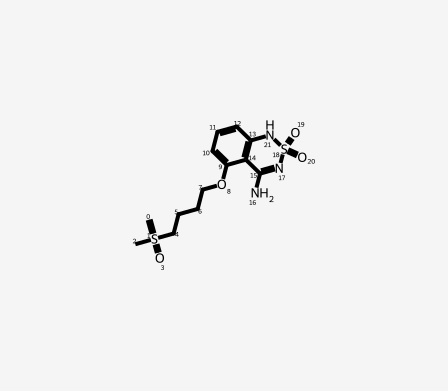 C=S(C)(=O)CCCCOc1cccc2c1C(N)=NS(=O)(=O)N2